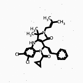 CC(C)=CCN1C(=O)C2=C(Nc3cc(Cl)c(Cl)cc3N(C(=O)C3CC3)C2/C=C/c2ccccc2)C1(C)C